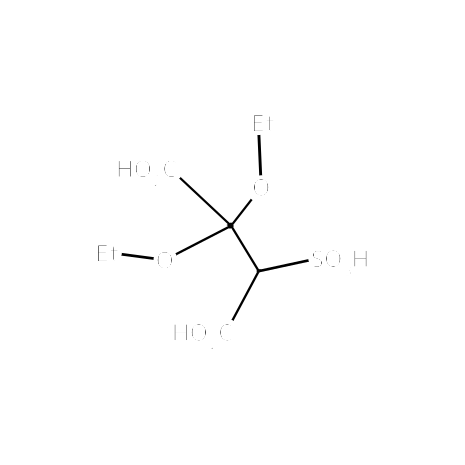 CCOC(OCC)(C(=O)O)C(C(=O)O)S(=O)(=O)O